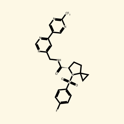 O=C(NCc1cc(-c2cnc(C(F)(F)F)nc2)ncn1)[C@@H]1CCC2(CC2)N1S(=O)(=O)c1ccc(F)cc1